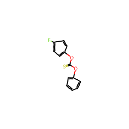 Fc1ccc(OC(=S)Oc2ccccc2)cc1